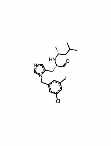 CC(C)C[C@@H](C)N[C@H](C=O)Cc1cncn1Cc1cc(Cl)cc(I)c1